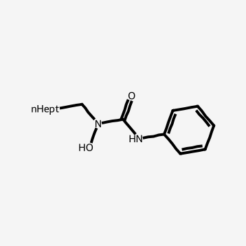 CCCCCCCCN(O)C(=O)Nc1ccccc1